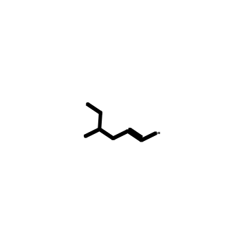 [CH2]/C=C/CC(C)CC